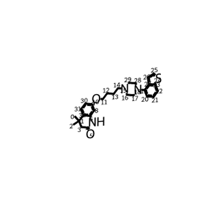 CC1(C)CC(=O)Nc2cc(OCCCCN3CCN(c4cccc5sccc45)CC3)ccc21